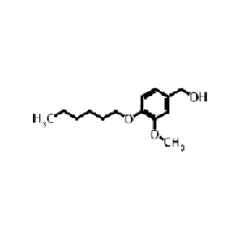 CCCCCCOc1ccc(CO)cc1OC